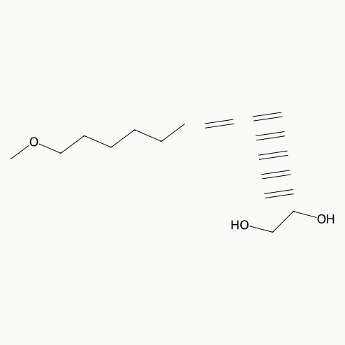 C=C.C=C.C=C.C=C.C=C.C=C.CCCCCCOC.OCCO